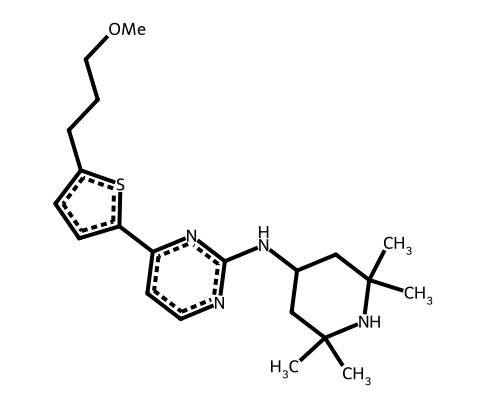 COCCCc1ccc(-c2ccnc(NC3CC(C)(C)NC(C)(C)C3)n2)s1